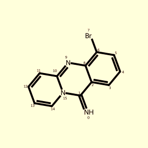 N=c1c2cccc(Br)c2nc2ccccn12